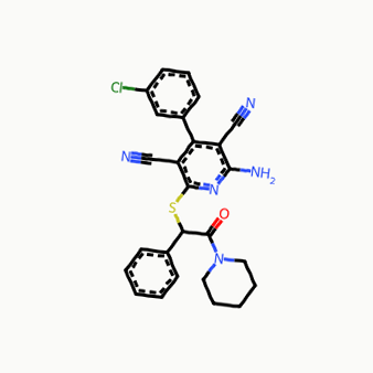 N#Cc1c(N)nc(SC(C(=O)N2CCCCC2)c2ccccc2)c(C#N)c1-c1cccc(Cl)c1